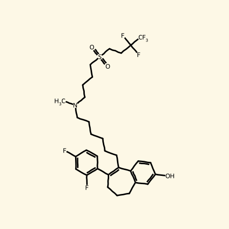 CN(CCCCCCC1=C(c2ccc(F)cc2F)CCCc2cc(O)ccc21)CCCCS(=O)(=O)CCC(F)(F)C(F)(F)F